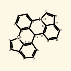 c1cc2c3c(c1)-n1ccc4cccc(c41)C3c1cccc3ccn-2c13